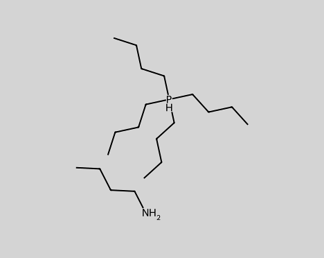 CCCCN.CCCC[PH](CCCC)(CCCC)CCCC